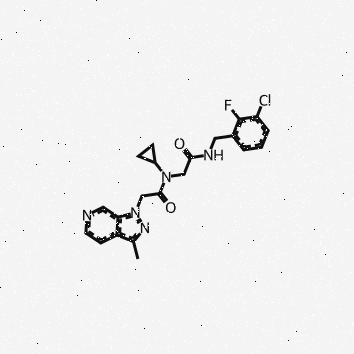 Cc1nn(CC(=O)N(CC(=O)NCc2cccc(Cl)c2F)C2CC2)c2cnccc12